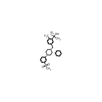 CC(C)(O)c1cc(CN2CCN(c3cccc(S(C)(=O)=O)c3)C[C@H]2c2ccccc2)ccc1C(F)(F)F